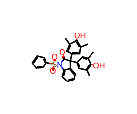 Cc1cc(C2(c3cc(C)c(O)c(C)c3)C(=O)N(S(=O)(=O)c3ccccc3)c3ccccc32)cc(C)c1O